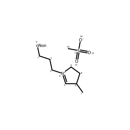 CCCCCCCCCCCC[N+]1=CC(C)CC1.CS(=O)(=O)[O-]